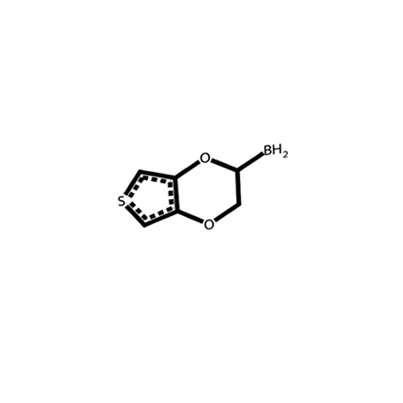 BC1COc2cscc2O1